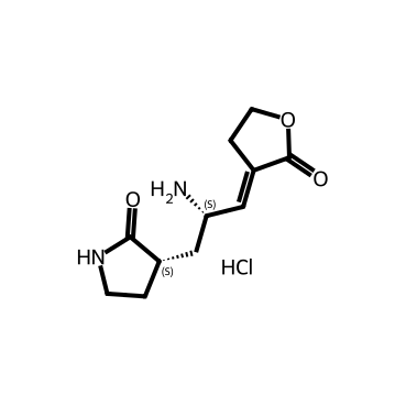 Cl.N[C@H](C=C1CCOC1=O)C[C@@H]1CCNC1=O